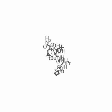 CC(C)[C@@H](CNS(=O)(=O)c1cccs1)NC(=O)N[C@H](C(=O)N1C[C@H]2[C@@H]([C@H]1C(=O)NC(CC1CC1)C(=O)C(N)=O)C2(C)C)C(C)(C)C